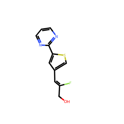 OC/C(F)=C/c1csc(-c2ncccn2)c1